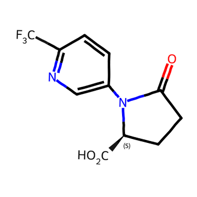 O=C(O)[C@@H]1CCC(=O)N1c1ccc(C(F)(F)F)nc1